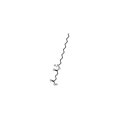 CCCCCCCCCCCC[SiH2]OC(=O)CCCC(=O)O